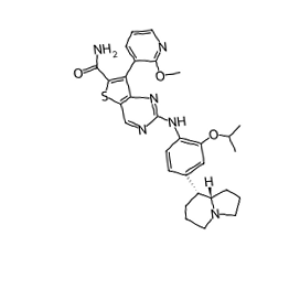 COc1ncccc1-c1c(C(N)=O)sc2cnc(Nc3ccc([C@H]4CCCN5CCC[C@@H]45)cc3OC(C)C)nc12